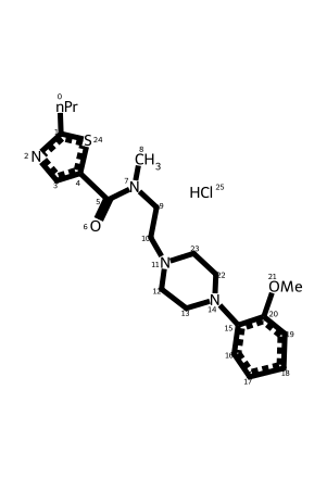 CCCc1ncc(C(=O)N(C)CCN2CCN(c3ccccc3OC)CC2)s1.Cl